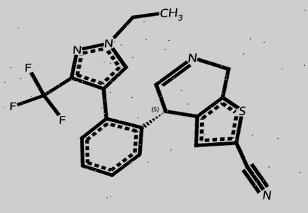 CCn1cc(-c2ccccc2[C@@H]2C=NCc3sc(C#N)cc32)c(C(F)(F)F)n1